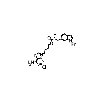 CC(C)n1ccc2ccc(CNC(=O)OCCCCn3cnc4c(N)nc(Cl)nc43)cc21